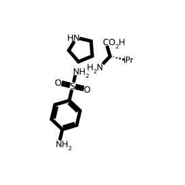 C1CCNC1.CC(C)[C@H](N)C(=O)O.Nc1ccc(S(N)(=O)=O)cc1